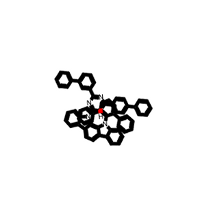 c1ccc(-c2ccc(C3N=C(c4cccc(-c5ccccc5)c4)N=C(n4c5ccccc5c5ccc6c7ccccc7n(-c7c(-c8ccccc8)cccc7-c7ccccc7)c6c54)N3)cc2)cc1